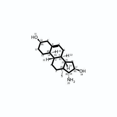 C[C@]12CC[C@H]3[C@@H](CC=C4C[C@H](O)CC[C@@H]43)[C@@H]1C[C@@H](O)[C@@H]2N